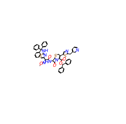 CON=C(C(=O)NC1C(=O)N2C(C(=O)OC(c3ccccc3)c3ccccc3)=C(c3cnc(Cc4cccnc4)s3)CSC12)c1csc(NC(c2ccccc2)(c2ccccc2)c2ccccc2)n1